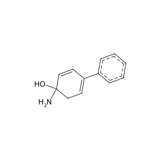 NC1(O)C=CC(c2ccccc2)=CC1